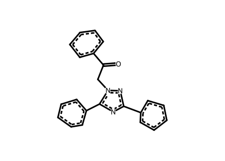 O=C(Cn1nc(-c2ccccc2)nc1-c1ccccc1)c1ccccc1